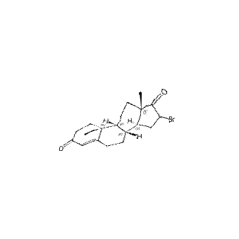 C[C@]12CCC(=O)C=C1CC[C@@H]1[C@H]2CC[C@]2(C)C(=O)C(Br)C[C@@H]12